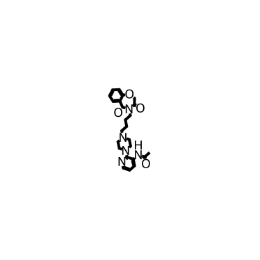 CC(=O)Nc1cccnc1N1CCN(CCCCN2C(=O)COc3ccccc3C2=O)CC1